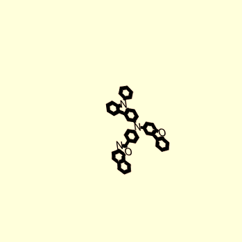 c1ccc(-n2c3ccccc3c3cc(N(c4ccc(-c5nc6ccc7ccccc7c6o5)cc4)c4ccc5oc6ccccc6c5c4)ccc32)cc1